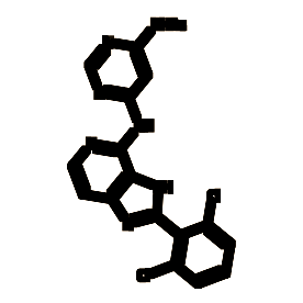 CC(=O)Nc1cc(Nc2nccc3nc(-c4c(Cl)cccc4Cl)[nH]c23)ncn1